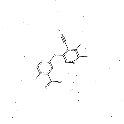 Cc1nnc(Sc2ccc(Cl)c(C(=O)O)c2)c(C#N)c1C